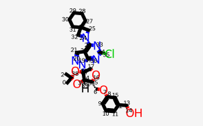 CC1(C)O[C@@H]2[C@@H](COc3cccc(CO)c3)OC[C@@]2(n2ncc3c(N4CC5(CCCCC5)C4)nc(Cl)nc32)O1